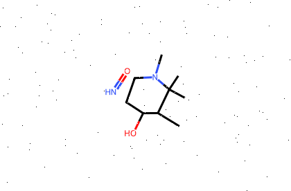 CC1C(O)CCN(C)C1(C)C.N=O